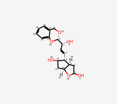 OC1C[C@@H]2[C@@H](/C=C/[C@@H](O)[C@H]3OCc4ccccc4O3)[C@H](O)C[C@@H]2O1